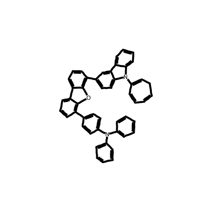 C1=CCC=C(n2c3ccccc3c3cc(-c4cccc5c4oc4c(-c6ccc(N(c7ccccc7)c7ccccc7)cc6)cccc45)ccc32)C=C1